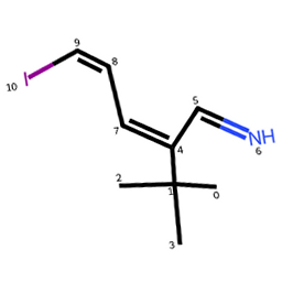 CC(C)(C)/C(C=N)=C/C=C\I